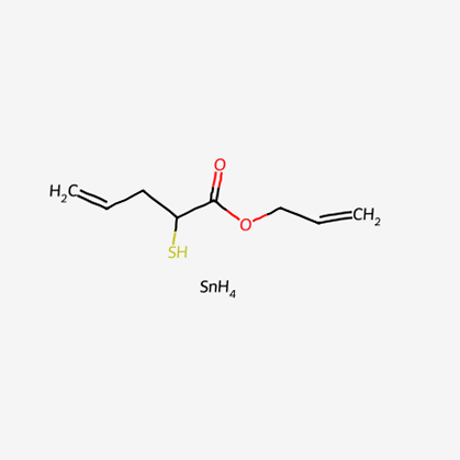 C=CCOC(=O)C(S)CC=C.[SnH4]